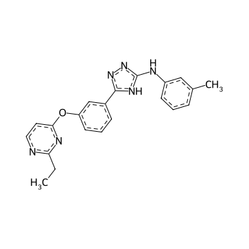 CCc1nccc(Oc2cccc(-c3nnc(Nc4cccc(C)c4)[nH]3)c2)n1